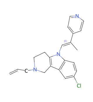 C=CCN1CCc2c(c3cc(Cl)ccc3n2/C=C(\C)c2ccncc2)C1